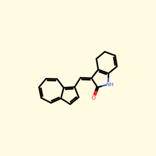 O=C1NC2=C(CCC=C2)/C1=C/c1ccc2cccccc1-2